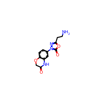 NCCc1nn(-c2ccc3c(c2)NC(=O)CO3)c(=O)o1